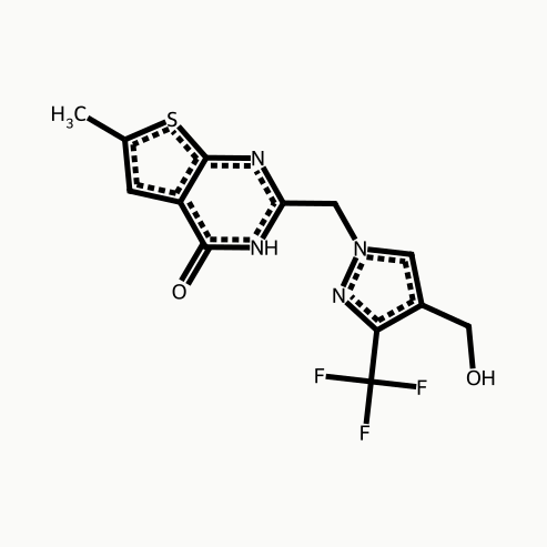 Cc1cc2c(=O)[nH]c(Cn3cc(CO)c(C(F)(F)F)n3)nc2s1